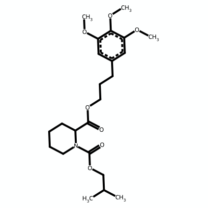 COc1cc(CCCOC(=O)C2CCCCN2C(=O)OCC(C)C)cc(OC)c1OC